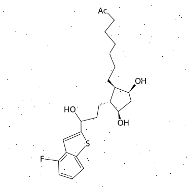 CC(=O)CCCCCC[C@@H]1[C@@H](CCC(O)c2cc3c(F)cccc3s2)[C@H](O)C[C@@H]1O